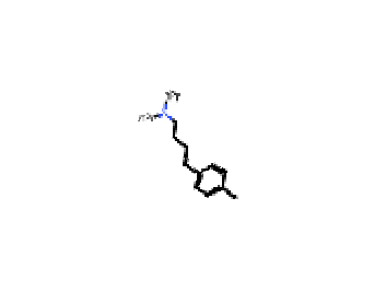 CCCN(CCC)CCCCc1ccc(C)cc1